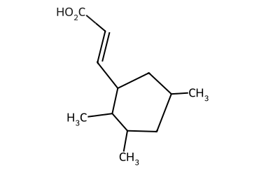 CC1CC(C)C(C)C(C=CC(=O)O)C1